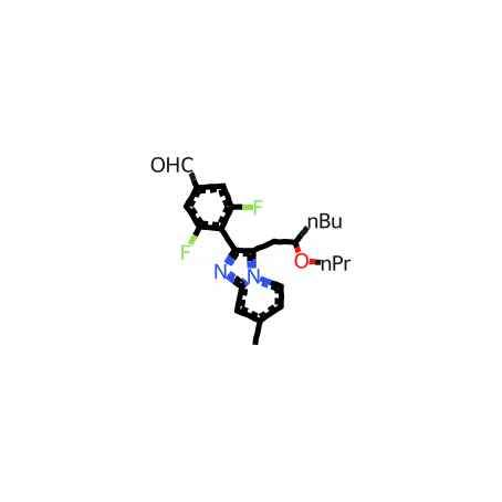 CCCCC(Cc1c(-c2c(F)cc(C=O)cc2F)nc2cc(C)ccn12)OCCC